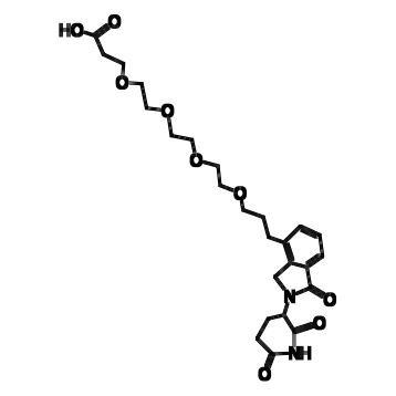 O=C(O)CCOCCOCCOCCOCCCc1cccc2c1CN(C1CCC(=O)NC1=O)C2=O